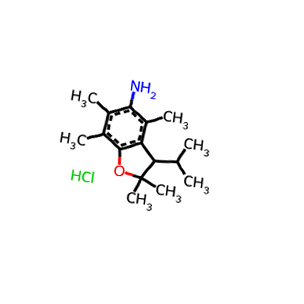 Cc1c(C)c2c(c(C)c1N)C(C(C)C)C(C)(C)O2.Cl